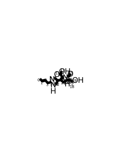 CC=CCC1=NCC(C2=C(C(=O)O)N3C(=O)[C@H]([C@@H](C)O)[C@H]3C2)CN1